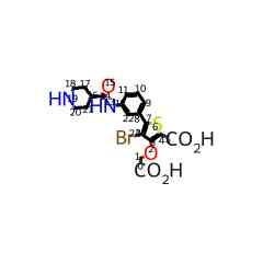 O=C(O)COc1c(C(=O)O)sc(-c2cccc(NC(=O)C3CCNCC3)c2)c1Br